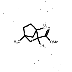 COC(=O)C1(C)CC2(C)CCC1(C)C2